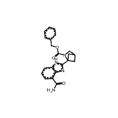 NC(=O)c1cccc2[nH]c(C34CC(CN3C(=O)OCc3ccccc3)C4)nc12